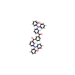 O=C(c1cccc(C(=O)c2cccc(N3c4ccccc4Oc4ccccc43)c2)c1)c1cccc(N2c3ccccc3Oc3ccccc32)c1